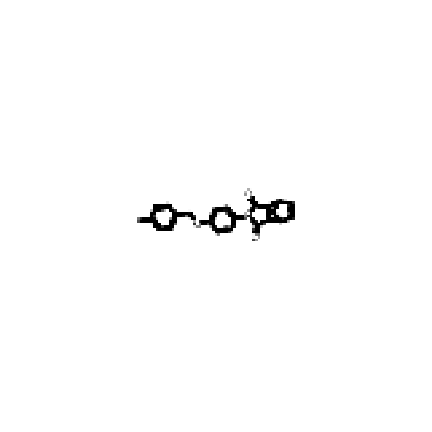 Cc1ccc(COc2ccc(N3C(=O)C4C5C=CC(C5)C4C3=O)cc2)cc1